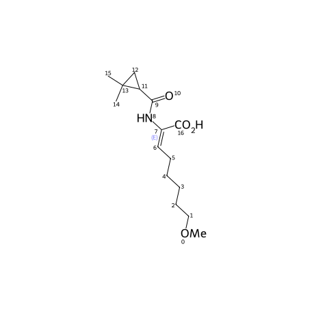 COCCCCC/C=C(/NC(=O)C1CC1(C)C)C(=O)O